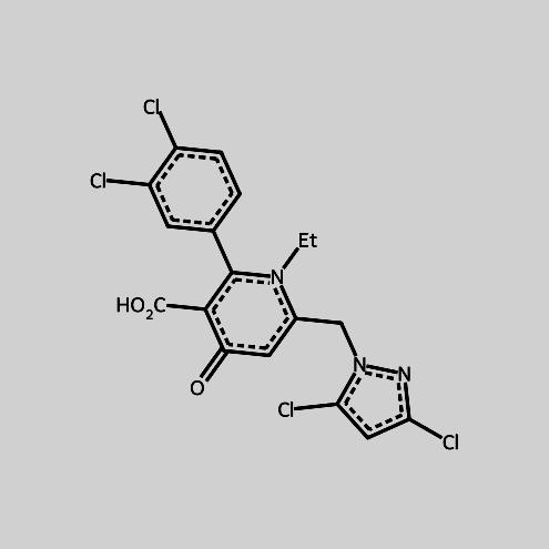 CCn1c(Cn2nc(Cl)cc2Cl)cc(=O)c(C(=O)O)c1-c1ccc(Cl)c(Cl)c1